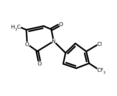 Cc1cc(=O)n(-c2ccc(C(F)(F)F)c(Cl)c2)c(=O)o1